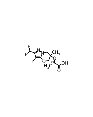 C[C@H](OC1(C)COc2c(I)c(C(F)F)nn2C1)C(=O)O